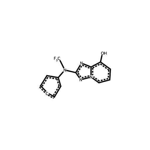 Oc1cccn2nc(N(c3ccccc3)C(F)(F)F)nc12